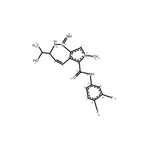 CC(O)C1C=Cc2c(cn(C)c2C(=O)Nc2ccc(F)c(F)c2)S(=N)N1